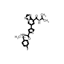 CC(C)NC(=O)c1cc(-c2csc(C(=O)N[C@@H](C)c3ccc(F)cc3)c2)cn2ncnc12